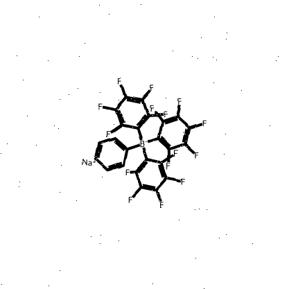 Fc1c(F)c(F)c([B-](c2ccccc2)(c2c(F)c(F)c(F)c(F)c2F)c2c(F)c(F)c(F)c(F)c2F)c(F)c1F.[Na+]